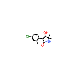 Cc1cc(Cl)ccc1C1=C(O)C(C)(C)NC1=O